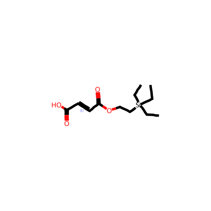 CC[Si](CC)(CC)CCOC(=O)/C=C/C(=O)O